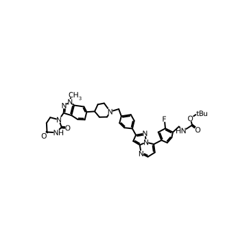 Cn1nc(N2CCC(=O)NC2=O)c2ccc(C3CCN(Cc4ccc(-c5cc6nccc(-c7ccc(CNC(=O)OC(C)(C)C)c(F)c7)n6n5)cc4)CC3)cc21